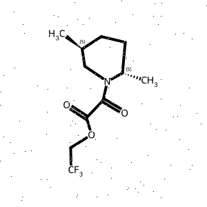 C[C@H]1CC[C@H](C)N(C(=O)C(=O)OCC(F)(F)F)C1